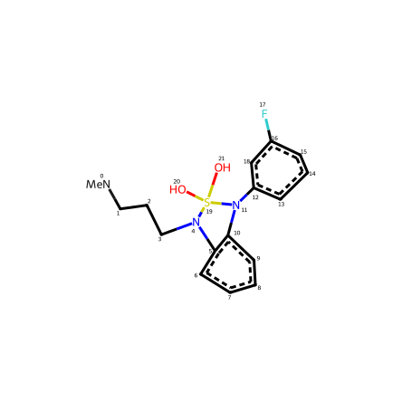 CNCCCN1c2ccccc2N(c2cccc(F)c2)S1(O)O